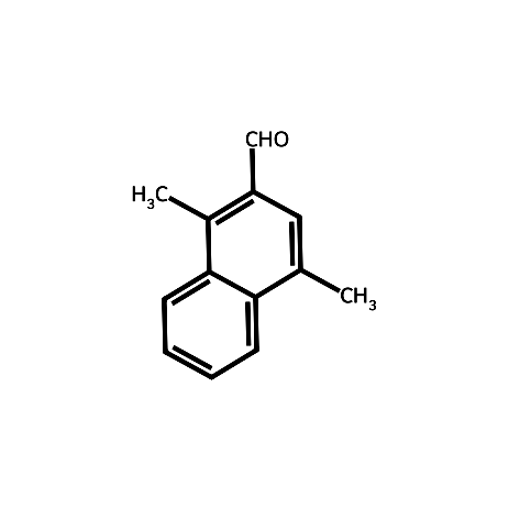 Cc1cc(C=O)c(C)c2ccccc12